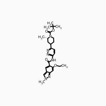 CCOc1cc2nn(C)cc2cc1C(=O)Nc1ccc(C2CCN(C(=O)OC(C)(C)C)[C@@H](C)C2)nn1